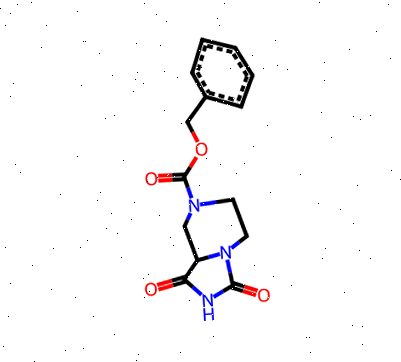 O=C1NC(=O)N2CCN(C(=O)OCc3ccccc3)CC12